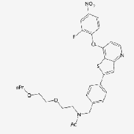 CCCOCCOCCN(Cc1ccc(-c2cc3nccc(Oc4ccc([N+](=O)[O-])cc4F)c3s2)cc1)C(C)=O